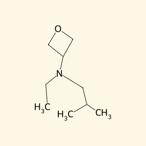 CCN(CC(C)C)C1COC1